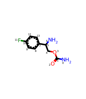 NC(=O)OCC(N)c1ccc(F)cc1